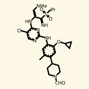 CN/C=C(/Nc1nc(Nc2cc(C)c(C3CCN(C=O)CC3)cc2OC2CC2)ncc1Cl)C(=N)S(=O)(=O)C(C)C